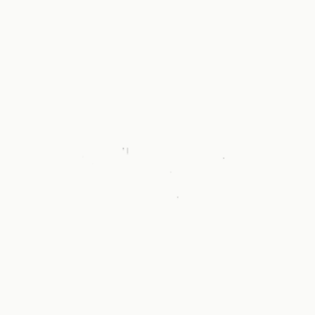 CCOC(=O)C1CCCN(C(=O)O)CC1=O